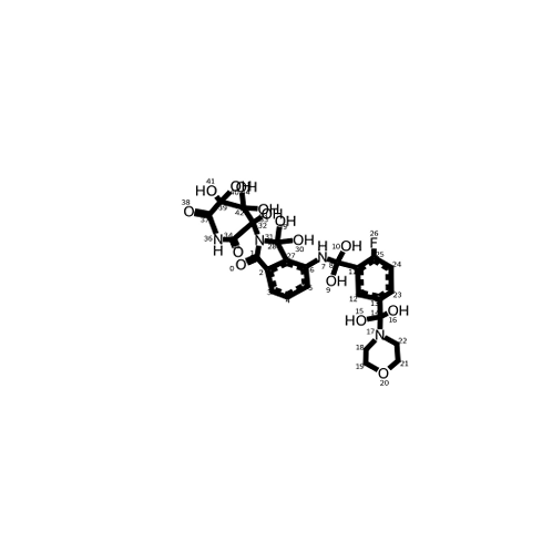 O=C1c2cccc(NC(O)(O)c3cc(C(O)(O)N4CCOCC4)ccc3F)c2C(O)(O)N1C1(O)C(=O)NC(=O)C(O)(O)C1(O)O